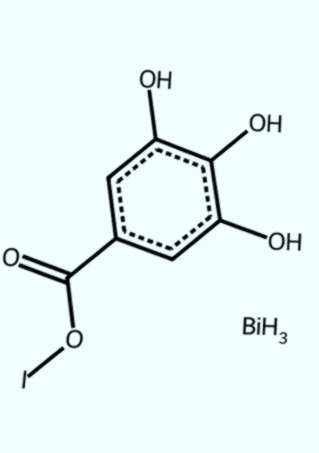 O=C(OI)c1cc(O)c(O)c(O)c1.[BiH3]